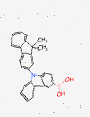 CC1(C)c2ccccc2-c2ccc(-n3c4ccccc4c4cc(B(O)O)ccc43)cc21